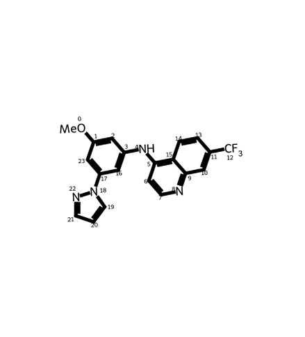 COc1cc(Nc2ccnc3cc(C(F)(F)F)ccc23)cc(-n2cccn2)c1